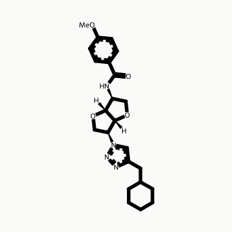 COc1ccc(C(=O)N[C@H]2CO[C@H]3[C@@H]2OC[C@@H]3n2cc(CC3CCCCC3)nn2)cc1